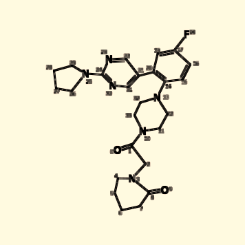 O=C(CN1CCCCC1=O)N1CCN(c2ccc(F)cc2-c2cnc(N3CCCC3)nc2)CC1